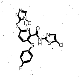 Cn1cnnc1Sc1ccc(Sc2ccc(F)cc2)c(C(=O)Nc2n[c]c(Cl)s2)n1